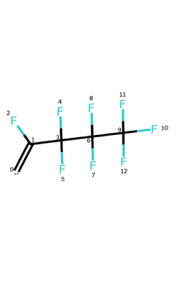 [C]=C(F)C(F)(F)C(F)(F)C(F)(F)F